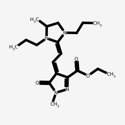 CCCN1CC(C)N(CCC)/C1=C\C=C1\C(=O)N(C)N=C1C(=O)OCC